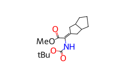 COC(=O)C(NC(=O)OC(C)(C)C)=C1CC2CCCC2C1